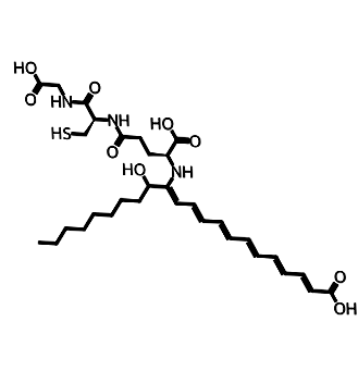 CCCCCCCCC(O)C(=CC=CC=CC=CC=CC=CC(=O)O)N[C@@H](CCC(=O)N[C@@H](CS)C(=O)NCC(=O)O)C(=O)O